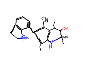 Cc1cc(-c2cccc3c2NCC3)c(C#N)c2c1NC(C)(C)C(O)C2C